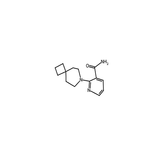 NC(=O)c1cccnc1N1CCC2(CCC2)CC1